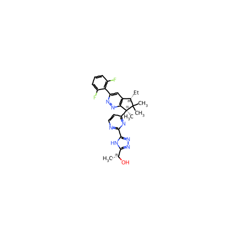 CC[C@H]1c2cc(-c3c(F)cccc3F)nnc2[C@](C)(c2ccnc(-c3nnc([C@@H](C)O)[nH]3)n2)C1(C)C